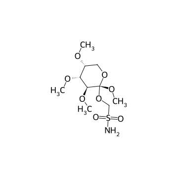 CO[C@@H]1[C@H](OC)CO[C@](OC)(OCS(N)(=O)=O)[C@H]1OC